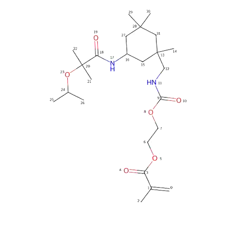 C=C(C)C(=O)OCCOC(=O)NCC1(C)CC(NC(=O)C(C)(C)OC(C)C)CC(C)(C)C1